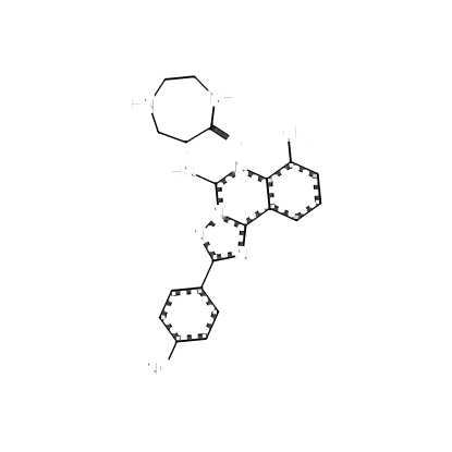 N#Cc1ccc(-c2nc3c4cccc(C(F)(F)F)c4nc(N[C@@H]4CNCCNC4=O)n3n2)cc1